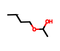 C[CH]CCOC(C)O